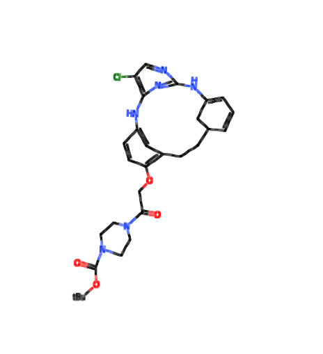 CC(C)(C)OC(=O)N1CCN(C(=O)COc2ccc3cc2CCC2C=CC=C(C2)Nc2ncc(Cl)c(n2)N3)CC1